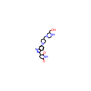 Cn1nc(C2CCC(=O)NC2=O)c2ccc(N3CCC(CN4CCNC(CO)C4)CC3)cc21